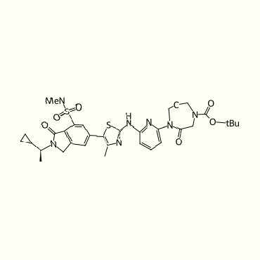 CNS(=O)(=O)c1cc(-c2sc(Nc3cccc(N4CCCN(C(=O)OC(C)(C)C)CC4=O)n3)nc2C)cc2c1C(=O)N([C@@H](C)C1CC1)C2